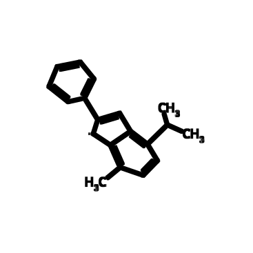 Cc1ccc(C(C)C)c2c1[CH]C(c1ccccc1)=C2